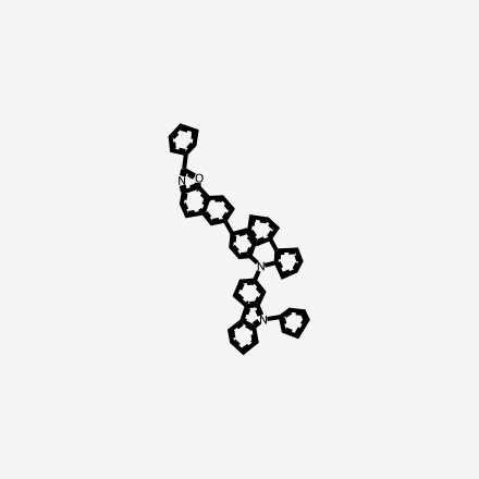 c1ccc(-c2nc3ccc4cc(-c5ccc(N(c6ccc7c8ccccc8n(-c8ccccc8)c7c6)c6ccccc6-c6ccccc6)cc5)ccc4c3o2)cc1